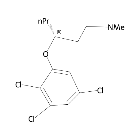 CCC[C@H](CCNC)Oc1cc(Cl)cc(Cl)c1Cl